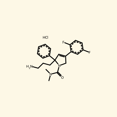 CN(C)C(=O)N1CC(c2cc(F)ccc2F)=CC1(CCCN)c1ccccc1.Cl